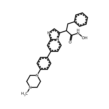 CN1CCN(c2ccc(-c3ccn4c(C(Cc5ccccc5)C(=O)NO)cnc4c3)cc2)CC1